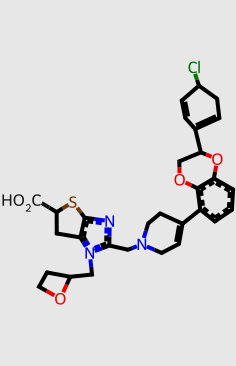 O=C(O)C1Cc2c(nc(CN3CC=C(c4cccc5c4OCC(C4=CCC(Cl)C=C4)O5)CC3)n2CC2CCO2)S1